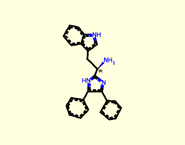 N[C@H](Cc1c[nH]c2ccccc12)c1nc(-c2ccccc2)c(-c2ccccc2)[nH]1